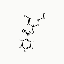 C/C=C/C(CCCC)OC(=O)c1ccccc1